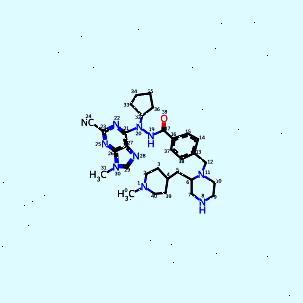 CN1CCC(CC2CNCCN2Cc2ccc(C(=O)NN(c3nc(C#N)nc4c3ncn4C)C3CCCC3)cc2)CC1